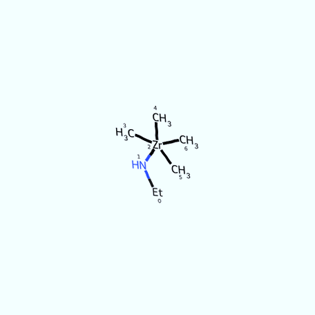 CC[NH][Zr]([CH3])([CH3])([CH3])[CH3]